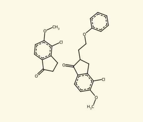 COc1ccc2c(c1Cl)CC(CCOc1ccccc1)C2=O.COc1ccc2c(c1Cl)CCC2=O